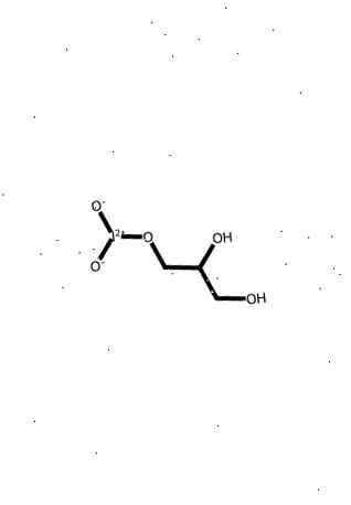 [O-][I+2]([O-])OCC(O)CO